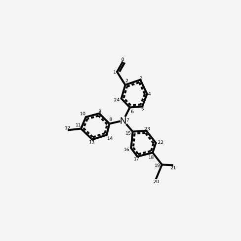 C=Cc1cccc(N(c2ccc(C)cc2)c2ccc(C(C)C)cc2)c1